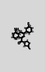 CC1CCN(C(=O)c2cc(-c3cccc(F)c3)cc3c(N)ncnc23)C1